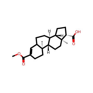 COC(=O)C1=CC2CC[C@H]3[C@@H]4CC[C@H](C(=O)O)[C@@]4(C)CC[C@@H]3[C@@]2(C)CC1